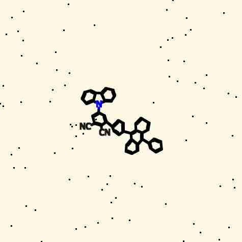 N#Cc1cc(-n2c3ccccc3c3ccccc32)cc(-c2ccc(-c3c4ccccc4c(-c4ccccc4)c4ccccc34)cc2)c1C#N